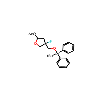 CC(=O)OC1CC(F)(CO[Si](c2ccccc2)(c2ccccc2)C(C)(C)C)CO1